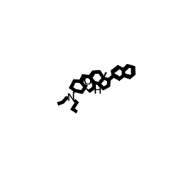 CCCN(CCC)[C@H]1CCC2=CC3=CC[C@]4(C)C(c5ccc6ccccc6c5)CC[C@H]4C34CC[C@]2(C1)O4